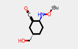 CC(C)(C)ON[C@H]1CC[C@H](CO)CC1=C=O